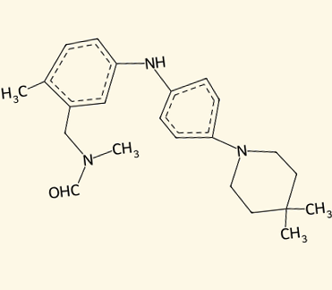 Cc1ccc(Nc2ccc(N3CCC(C)(C)CC3)cc2)cc1CN(C)C=O